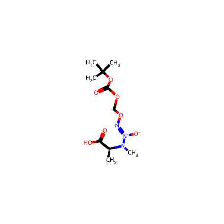 C[C@@H](C(=O)O)N(C)/[N+]([O-])=N/OCOC(=O)OC(C)(C)C